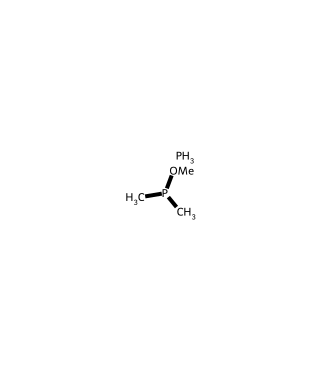 COP(C)C.P